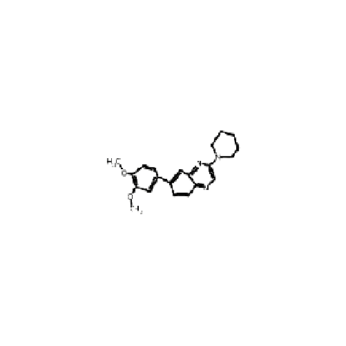 COc1ccc(-c2ccc3ncc(N4CCCCC4)nc3c2)cc1OC